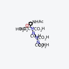 CC(=O)Nc1ccc(OCC(=O)O)c(C(C(=O)O)N(CCN(CCN(CCN(CC(=O)O)CC(=O)O)CC(=O)O)CC(=O)O)CC(=O)O)c1